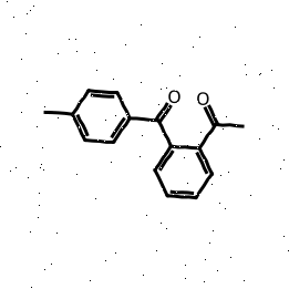 CC(=O)c1ccccc1C(=O)c1ccc(C)cc1